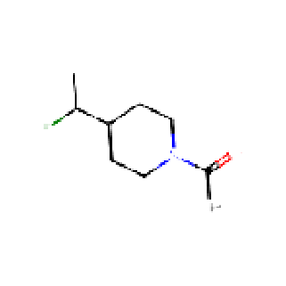 CC(C)C(=O)N1CCC(C(C)F)CC1